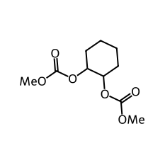 COC(=O)OC1CCCCC1OC(=O)OC